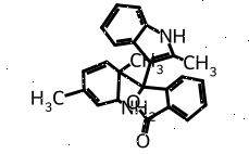 CC1=CC(N)C(C)(C2(c3c(C)[nH]c4ccccc34)OC(=O)c3ccccc32)C=C1